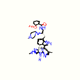 COc1nn(C)cc1Nc1ncc(C)c(-c2c[nH]c3c(C[C@@H](CNC(=O)c4ccccc4O)N4CCN(C)CC4)cccc23)n1